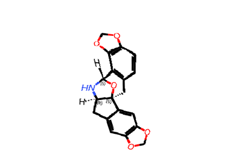 c1cc2c(c3c1C[C@@]14O[C@@H]3N[C@@H]1Cc1cc3c(cc14)OCO3)OCO2